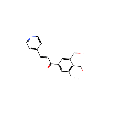 COc1cc(C(=O)/C=C/c2ccncc2)cc(CO)c1CO